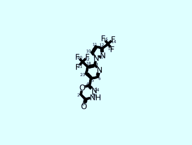 O=C1COC(c2cnc(-n3ccc(C(F)(F)F)n3)c(C(F)(F)F)c2)=NN1